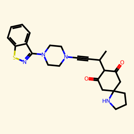 CC(C#CN1CCN(c2nsc3ccccc23)CC1)C1C(=O)CC2(CCCN2)CC1=O